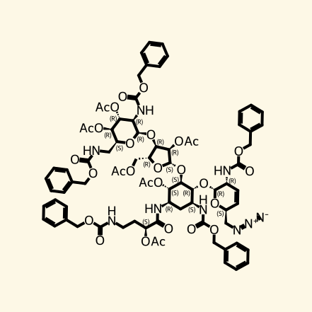 CC(=O)OC[C@H]1O[C@@H](O[C@@H]2[C@@H](OC(C)=O)[C@H](NC(=O)[C@H](CCNC(=O)OCc3ccccc3)OC(C)=O)C[C@H](NC(=O)OCc3ccccc3)[C@H]2O[C@H]2O[C@H](CN=[N+]=[N-])C=C[C@H]2NC(=O)OCc2ccccc2)[C@H](OC(C)=O)[C@@H]1O[C@H]1O[C@@H](CNC(=O)OCc2ccccc2)[C@@H](OC(C)=O)[C@H](OC(C)=O)[C@H]1NC(=O)OCc1ccccc1